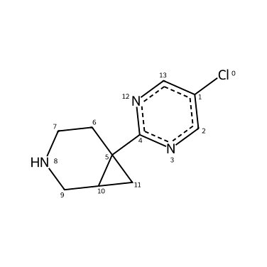 Clc1cnc(C23CCNCC2C3)nc1